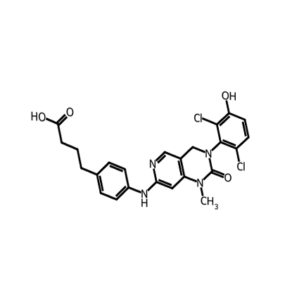 CN1C(=O)N(c2c(Cl)ccc(O)c2Cl)Cc2cnc(Nc3ccc(CCCC(=O)O)cc3)cc21